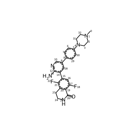 CN1CCN(c2ccc(-c3cnc(N)c(-c4cc(F)c5c(c4F)CCNC5=O)c3)cc2)CC1